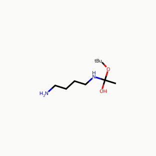 CC(C)(C)OC(C)(O)NCCCCN